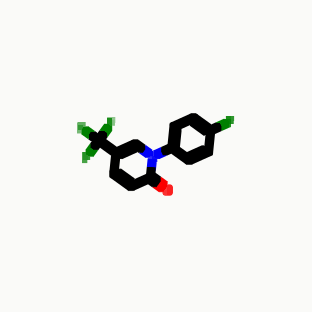 O=c1ccc(C(F)(F)F)cn1-c1ccc(F)cc1